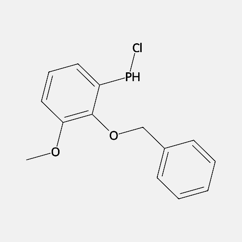 COc1cccc(PCl)c1OCc1ccccc1